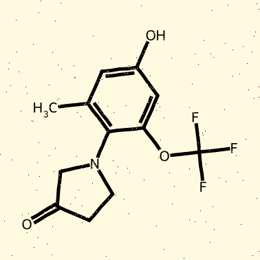 Cc1cc(O)cc(OC(F)(F)F)c1N1CCC(=O)C1